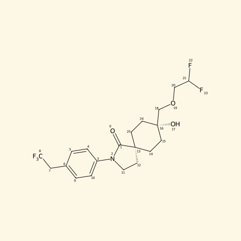 O=C1N(c2ccc(CC(F)(F)F)cc2)CC[C@]12CC[C@](O)(COCC(F)F)CC2